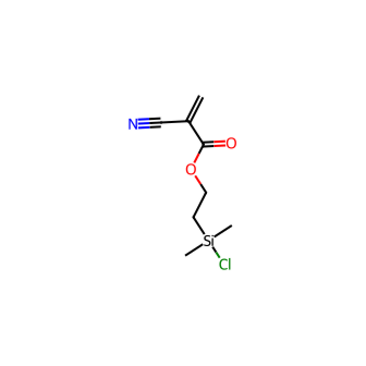 C=C(C#N)C(=O)OCC[Si](C)(C)Cl